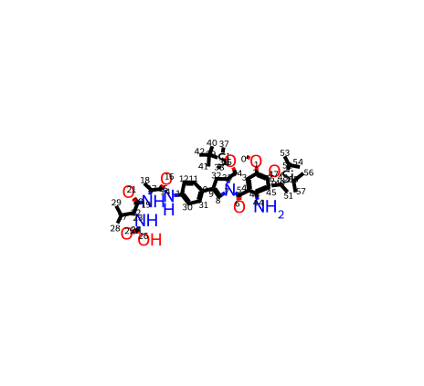 COc1cc(C(=O)N2C=C(c3ccc(NC(=O)C(C)NC(=O)C(NC(=O)O)C(C)C)cc3)CC2CO[Si](C)(C)C(C)(C)C)c(N)cc1O[Si](C(C)C)(C(C)C)C(C)C